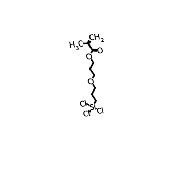 C=C(C)C(=O)OCCCOCCC[Si](Cl)(Cl)Cl